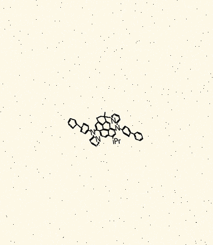 CC(C)c1cc(N(c2ccc(-c3ccccc3)cc2)c2ccccn2)c2cc3c4c(cc(N(c5ccc(-c6ccccc6)cc5)c5ccccn5)c5ccc1c2c54)CCC3(C)C